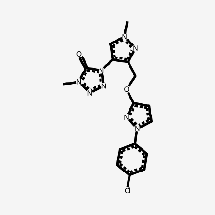 Cn1cc(-n2nnn(C)c2=O)c(COc2ccn(-c3ccc(Cl)cc3)n2)n1